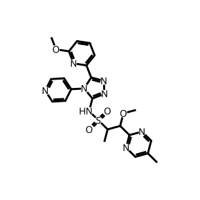 COc1cccc(-c2nnc(NS(=O)(=O)C(C)C(OC)c3ncc(C)cn3)n2-c2ccncc2)n1